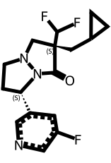 O=C1N2[C@H](c3cncc(F)c3)CCN2C[C@]1(CC1CC1)C(F)F